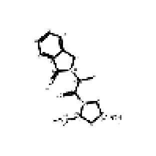 C[C@@H](C(=O)N1C[C@H](O)C[C@H]1C(=O)O)N1Cc2ccccc2C1=O